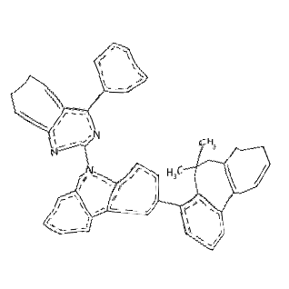 CC1(C)C2=C(C=CCC2)c2cccc(-c3ccc4c(c3)c3ccccc3n4-c3nc(-c4ccccc4)c4c(n3)=CCCC=4)c21